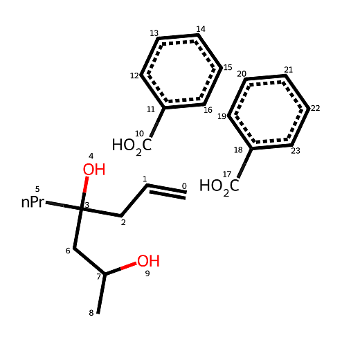 C=CCC(O)(CCC)CC(C)O.O=C(O)c1ccccc1.O=C(O)c1ccccc1